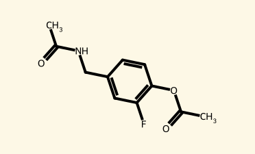 CC(=O)NCc1ccc(OC(C)=O)c(F)c1